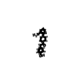 Nc1cccnc1N1CCN(C(=O)Cc2ccc(O)cc2)CC1